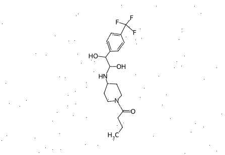 CCCC(=O)N1CCC(NC(O)C(O)c2ccc(C(F)(F)F)cc2)CC1